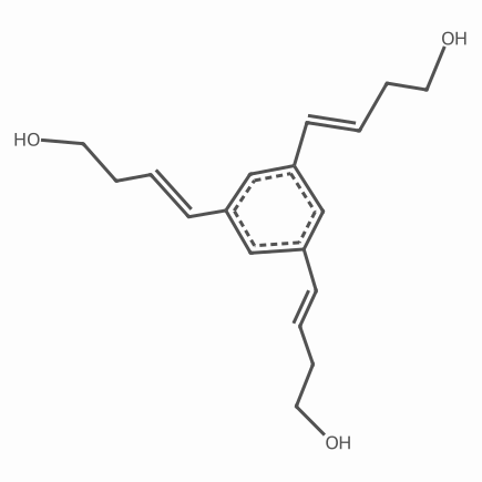 OCC/C=C/c1cc(/C=C/CCO)cc(/C=C/CCO)c1